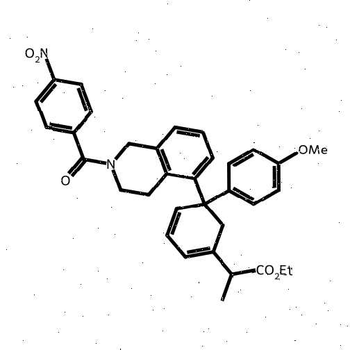 CCOC(=O)C(C)C1=CC=CC(c2ccc(OC)cc2)(c2cccc3c2CCN(C(=O)c2ccc([N+](=O)[O-])cc2)C3)C1